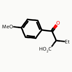 CCC(C(=O)O)C(=O)c1ccc(OC)cc1